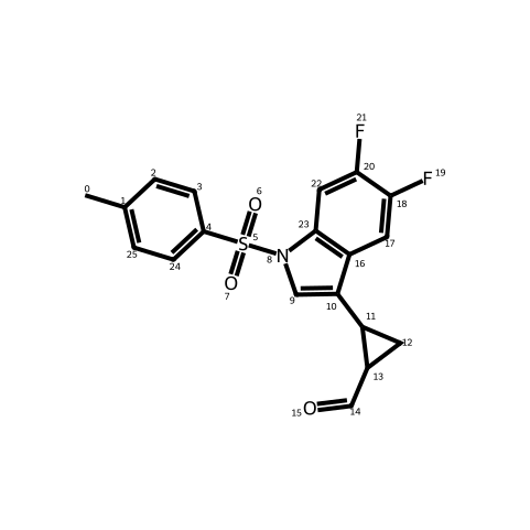 Cc1ccc(S(=O)(=O)n2cc(C3CC3C=O)c3cc(F)c(F)cc32)cc1